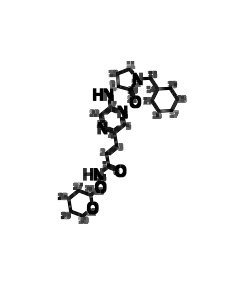 O=C(C=Cc1cnc(N[C@@H]2CCN(CC3CCCCC3)C2=O)cn1)NOC1CCCCO1